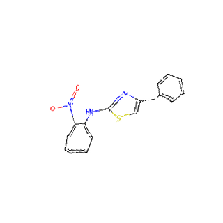 O=[N+]([O-])c1ccccc1Nc1nc(-c2ccccc2)cs1